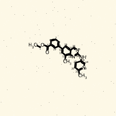 CCOC(=O)c1cccc(-c2cc(C)c3nc(Nc4ccc(C)nc4)ncc3c2)c1